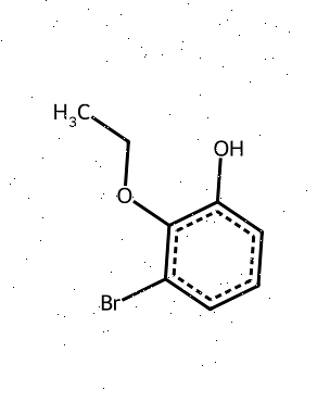 CCOc1c(O)cccc1Br